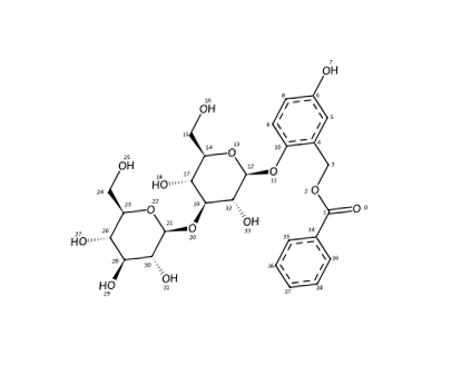 O=C(OCc1cc(O)ccc1O[C@@H]1O[C@H](CO)[C@@H](O)[C@H](O[C@@H]2O[C@H](CO)[C@@H](O)[C@H](O)[C@H]2O)[C@H]1O)c1ccccc1